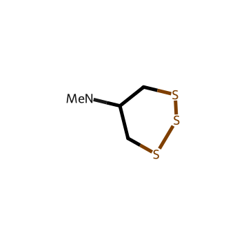 CNC1CSSSC1